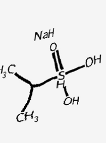 CC(C)[SH](=O)(O)O.[NaH]